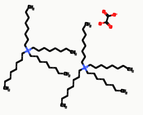 CCCCCCCC[N+](CCCCCCCC)(CCCCCCCC)CCCCCCCC.CCCCCCCC[N+](CCCCCCCC)(CCCCCCCC)CCCCCCCC.O=C([O-])C(=O)[O-]